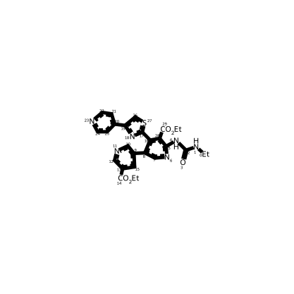 CCNC(=O)Nc1ncc(-c2cncc(C(=O)OCC)c2)c(-c2nc(-c3ccncc3)cs2)c1C(=O)OCC